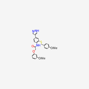 COc1ccc(CSc2cc(-c3cn[nH]c3)ccc2NC(=O)COc2cccc(OC)c2)cc1